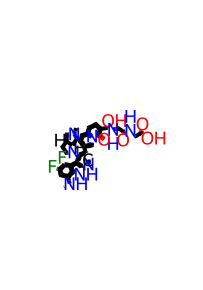 CNc1cc(F)c(F)c2c1[nH]c1ncc(-c3ccc4ccc(C(O)NCC(=O)NCC(=O)O)c(=O)n4c3)c(N3CC[C@H]4CN(C)C[C@H]43)c12